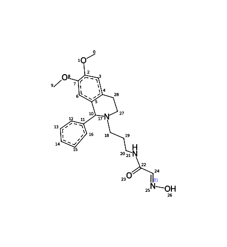 COc1cc2c(cc1OC)C(c1ccccc1)N(CCCNC(=O)/C=N/O)CC2